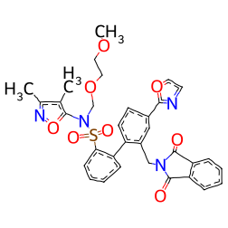 COCCOCN(c1onc(C)c1C)S(=O)(=O)c1ccccc1-c1ccc(-c2ncco2)cc1CN1C(=O)c2ccccc2C1=O